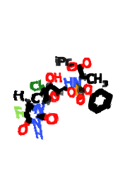 CC(C)OC(=O)[C@@H](C)N[P@@](=O)(OC[C@H]1O[C@@H](n2cc(F)c(=O)[nH]c2=O)[C@](C)(Cl)[C@@H]1O)Oc1ccccc1